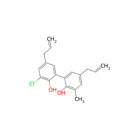 C=CCc1cc(C)c(O)c(-c2cc(CC=C)cc(Cl)c2O)c1